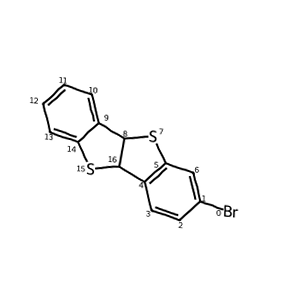 Brc1ccc2c(c1)SC1c3ccccc3SC21